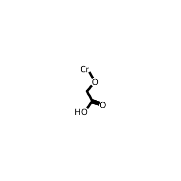 O=C(O)C[O][Cr]